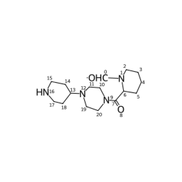 O=[C]N1CCCCC1C(=O)N1CCN(C2CCNCC2)CC1